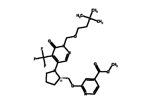 COC(=O)c1ccnc(OC[C@@H]2CCCN2c2cnn(COCC[Si](C)(C)C)c(=O)c2C(F)(F)F)c1